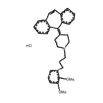 COc1cccc(CCCN2CCC(=C3c4ccccc4C=Cc4ccccc43)CC2)c1OC.Cl